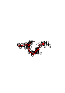 C=C1CC(CC[C@]23C[C@H]4OC5(O2)C2C(O3)[C@H]3OC(CC(=O)CC6CO[C@H](CC(O)CNC(=O)OCc7ccc(NC(=O)C(CCCNC(N)=O)NC(=O)C(NC(=O)CCOCCOCCN8C(=O)C=CC8=O)C(C)C)cc7)[C@@H]6OC)CCC3OC2[C@H]45)O[C@H]1CCC1C[C@@H](C)C(=C)[C@@H](C)O1